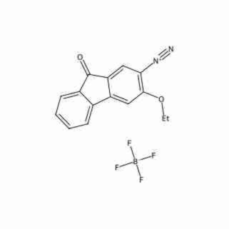 CCOc1cc2c(cc1[N+]#N)C(=O)c1ccccc1-2.F[B-](F)(F)F